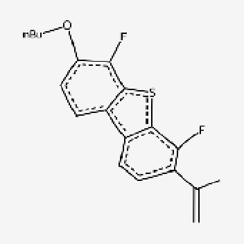 C=C(C)c1ccc2c(sc3c(F)c(OCCCC)ccc32)c1F